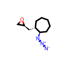 [N-]=[N+]=N[C@@H]1CCCCC[C@H]1C[C@H]1CO1